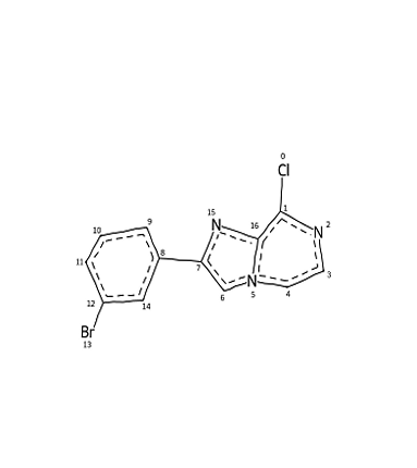 Clc1nccn2cc(-c3cccc(Br)c3)nc12